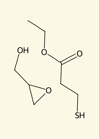 CCOC(=O)CCS.OCC1CO1